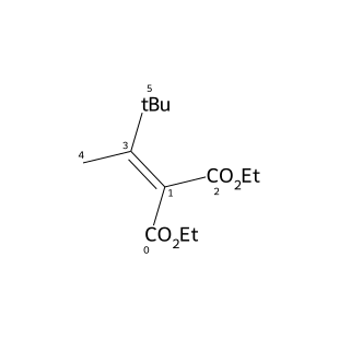 CCOC(=O)C(C(=O)OCC)=C(C)C(C)(C)C